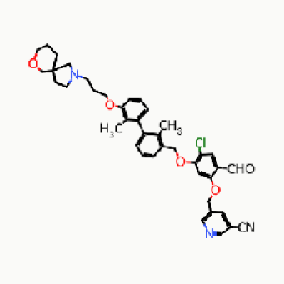 Cc1c(COc2cc(OCc3cncc(C#N)c3)c(C=O)cc2Cl)cccc1-c1cccc(OCCCN2CCC3(CCCOC3)C2)c1C